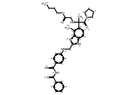 CCCCOC(=O)CNC(C)(C(=O)N1CCCC1)c1ccc2[nH]c(CNc3ccc(C(=N)NC(=O)c4ccccc4)cc3)nc2c1C